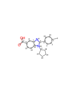 Cc1ccc(-c2nc3cc(C(=O)O)ccc3n2C2CCCC2)cc1